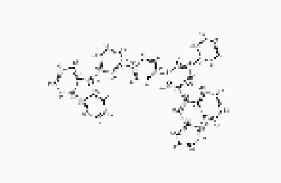 c1ccc(-c2nc(-c3ccc(-c4cccc(-n5c6ccccc6c6ccccc65)c4)cc3)nc(-c3cc4ccccc4c4ccccc34)n2)cc1